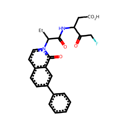 CCC(C(=O)NC(CC(=O)O)C(=O)CF)n1ccc2ccc(-c3ccccc3)cc2c1=O